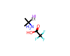 CCC(C)(C)N.I.O=C(O)C(F)(F)F